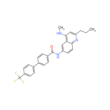 CCCc1cc(NC)c2cc(NC(=O)c3ccc(-c4ccc(C(F)(F)F)cc4)cc3)ccc2n1